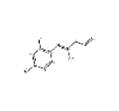 C=CC/C(CCC)=N/c1ccc(Br)cc1C